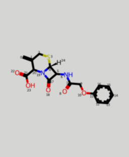 C=C1CS[C@@H]2C(NC(=O)COc3ccccc3)C(=O)N2C1C(=O)O